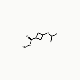 CC(C)(C)OC(=O)N1CC(OC(F)F)C1